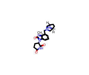 Cn1c(=O)n(C2CCC(=O)NC2=O)c2cccc(CN3C[C@@H]4CC[C@@H](C3)N4)c21